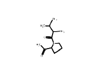 CC(=O)C1CCCN1C(=O)C(N)C(C)C